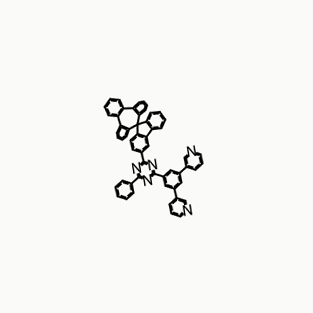 c1ccc(-c2nc(-c3cc(-c4cccnc4)cc(-c4cccnc4)c3)nc(-c3ccc4c(c3)-c3ccccc3C43c4ccccc4-c4ccccc4-c4ccccc43)n2)cc1